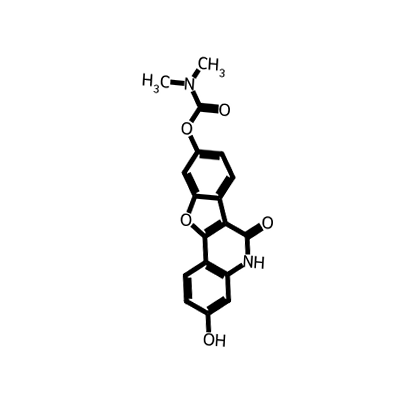 CN(C)C(=O)Oc1ccc2c(c1)oc1c3ccc(O)cc3[nH]c(=O)c21